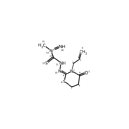 C=CCN1C(=O)CCSC1=NNC(=S)[N+](C)=N